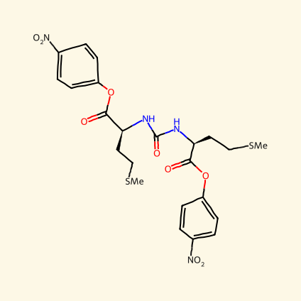 CSCC[C@H](NC(=O)N[C@@H](CCSC)C(=O)Oc1ccc([N+](=O)[O-])cc1)C(=O)Oc1ccc([N+](=O)[O-])cc1